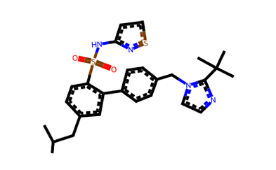 CC(C)Cc1ccc(S(=O)(=O)Nc2ccsn2)c(-c2ccc(Cn3ccnc3C(C)(C)C)cc2)c1